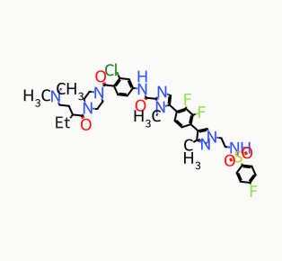 CCC(CCN(C)C)C(=O)N1CCN(C(=O)c2ccc(NC(=O)c3ncc(-c4ccc(-c5cn(CCNS(=O)(=O)c6ccc(F)cc6)nc5C)c(F)c4F)n3C)cc2Cl)CC1